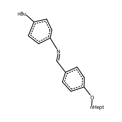 CCCCCCCOc1ccc(/C=N/c2ccc(CCCC)cc2)cc1